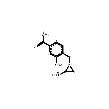 COC(=O)c1ccc(CN2CC2C(=O)O)c(OC)n1